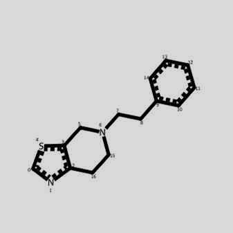 [c]1nc2c(s1)CN(CCc1ccccc1)CC2